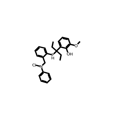 CCC(CC)(Pc1ccccc1CN(Cl)c1ccccc1)c1cccc(OC)c1O